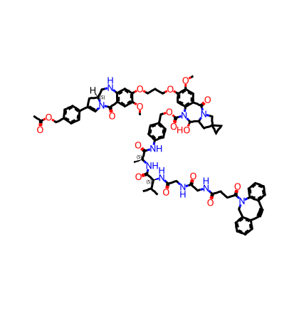 COc1cc2c(cc1OCCCOc1cc3c(cc1OC)C(=O)N1CC4(CC4)CC1C(O)N3C(=O)OCc1ccc(NC(=O)[C@H](C)NC(=O)[C@@H](NC(=O)CNC(=O)CNC(=O)CCC(=O)N3Cc4ccccc4C#Cc4ccccc43)C(C)C)cc1)NC[C@@H]1CC(c3ccc(COC(C)=O)cc3)=CN1C2=O